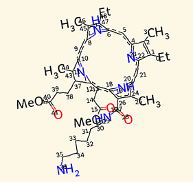 CCC1=C(C)c2cc3[nH]c(cc4nc(c(CC(=O)OC)c5[nH]c(cc1n2)c(C)c5C(=O)NCCCCCCN)C(CCC(=O)OC)C4C)c(C)c3CC